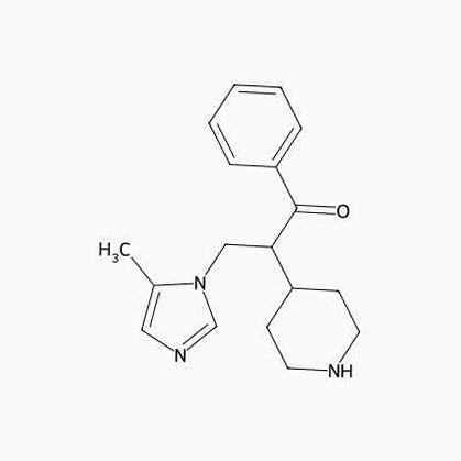 Cc1cncn1CC(C(=O)c1ccccc1)C1CCNCC1